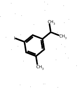 Cc1cc(I)cc(C(C)C)c1